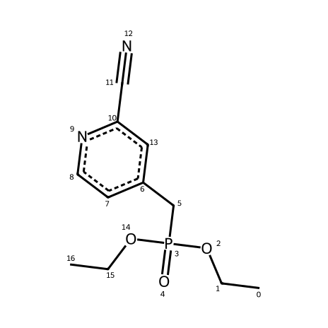 CCOP(=O)(Cc1ccnc(C#N)c1)OCC